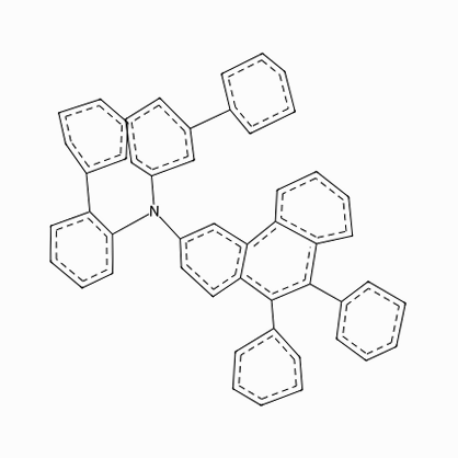 c1ccc(-c2cccc(N(c3ccc4c(-c5ccccc5)c(-c5ccccc5)c5ccccc5c4c3)c3ccccc3-c3ccccc3)c2)cc1